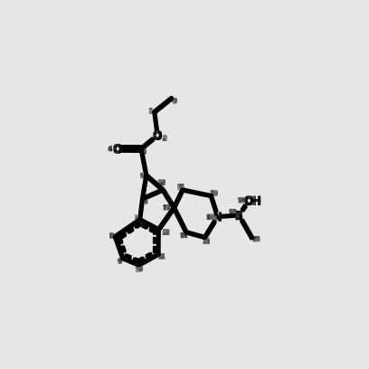 CCOC(=O)C1C2c3ccccc3C3(CCN(B(C)O)CC3)C12